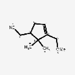 COCC1=CCC(CC#N)C1(C)C